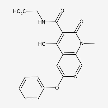 Cn1c(=O)c(C(=O)NCC(=O)O)c(O)c2cc(Oc3ccccc3)ncc21